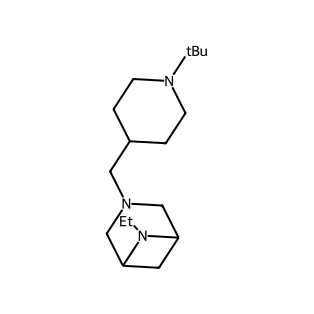 CCN1C2CC1CN(CC1CCN(C(C)(C)C)CC1)C2